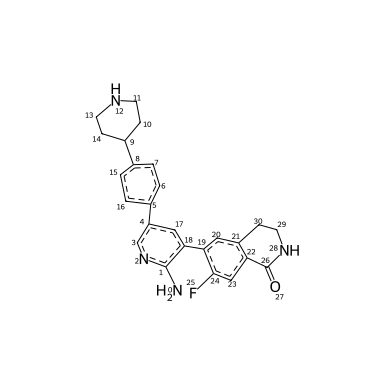 Nc1ncc(-c2ccc(C3CCNCC3)cc2)cc1-c1cc2c(cc1F)C(=O)NCC2